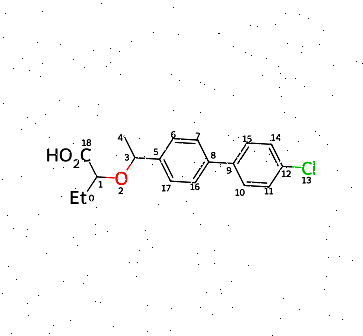 CCC(OC(C)c1ccc(-c2ccc(Cl)cc2)cc1)C(=O)O